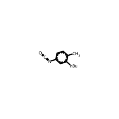 CCCCc1cc(N=C=O)ccc1C